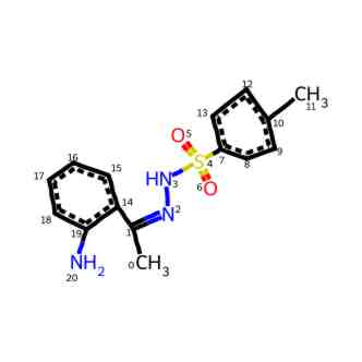 CC(=NNS(=O)(=O)c1ccc(C)cc1)c1ccccc1N